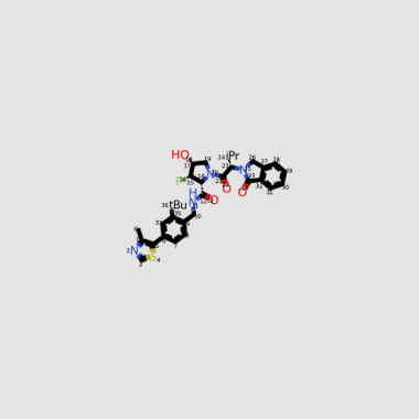 Cc1ncsc1-c1ccc(CNC(=O)[C@@H]2[C@@H](F)[C@@H](O)CN2C(=O)[C@H](C(C)C)N2Cc3ccccc3C2=O)c(C(C)(C)C)c1